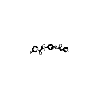 O=C(Cc1ccsc1)NCc1ccc(-c2nc(C(=O)N3CCCC(F)C3)co2)cc1